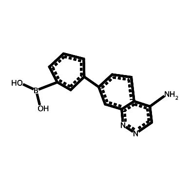 Nc1cnnc2cc(-c3cccc(B(O)O)c3)ccc12